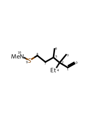 C=CC(C)(CC)C(C)CCSNC